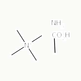 CC(=O)O.C[N+](C)(C)C.N